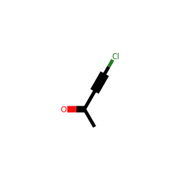 CC(=O)C#CCl